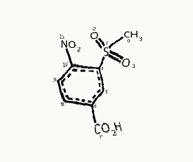 CS(=O)(=O)c1cc(C(=O)O)ccc1[N+](=O)[O-]